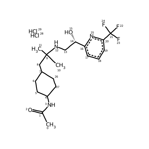 CC(=O)NC1CCC(CC(C)(C)NC[C@H](O)c2cccc(C(F)(F)F)n2)CC1.Cl.Cl